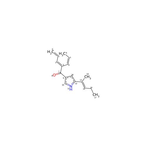 C=C/C=C(\C=C/C)C(=O)c1c[nH]c(/C(C)=C/CC)c1